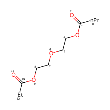 CCCC(=O)OCCOCCOC(=O)CC